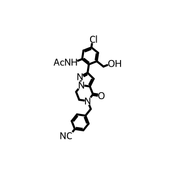 CC(=O)Nc1cc(Cl)cc(CO)c1-c1cc2n(n1)CCN(Cc1ccc(C#N)cc1)C2=O